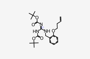 C=CCCOc1ccccc1CN/C(=N/C(=O)OC(C)(C)C)NC(=O)OC(C)(C)C